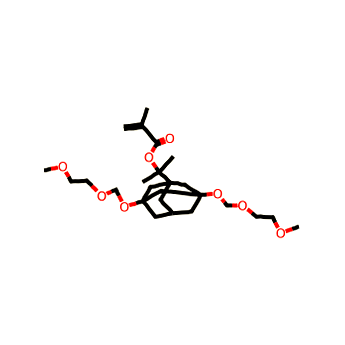 C=C(C)C(=O)OC(C)(C)C12CC3CC(OCOCCOC)(CC(OCOCCOC)(C3)C1)C2